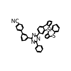 N#Cc1ccc(-c2cccc(-c3nc(-c4ccccc4)nc(-c4ccc5c(c4)[Si]4(c6ccccc6Sc6ccccc64)c4ccccc4-5)n3)c2)cc1